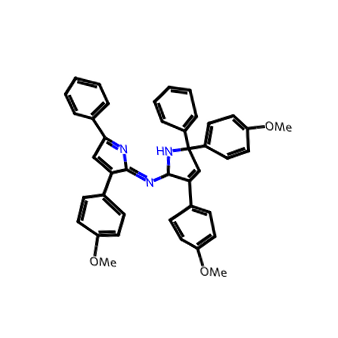 COc1ccc(C2=CC(c3ccccc3)=NC2=NC2NC(c3ccccc3)(c3ccc(OC)cc3)C=C2c2ccc(OC)cc2)cc1